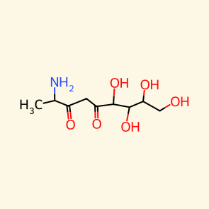 CC(N)C(=O)CC(=O)C(O)C(O)C(O)CO